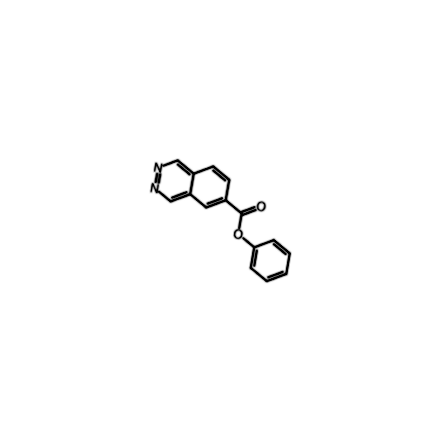 O=C(Oc1ccccc1)c1ccc2cnncc2c1